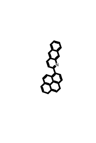 C1=Cc2ccc3c(-c4ccc5cc6ccccc6cc5n4)ccc4c3c2C(=CC4)C1